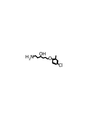 Cc1cc(Cl)ccc1OCCC[C@H](O)CCN